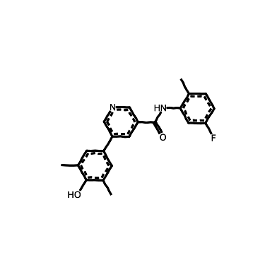 Cc1ccc(F)cc1NC(=O)c1cncc(-c2cc(C)c(O)c(C)c2)c1